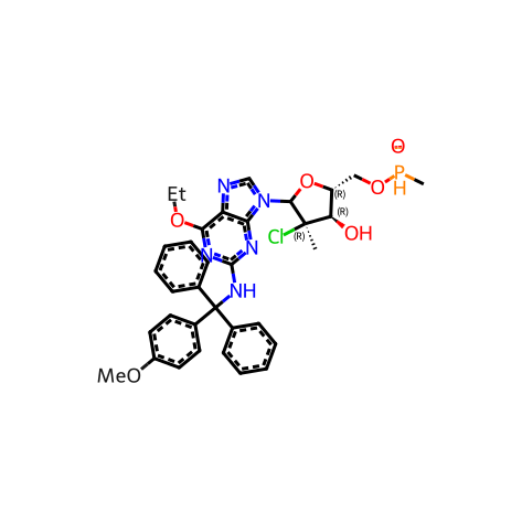 CCOc1nc(NC(c2ccccc2)(c2ccccc2)c2ccc(OC)cc2)nc2c1ncn2C1O[C@H](CO[PH](C)=O)[C@@H](O)[C@@]1(C)Cl